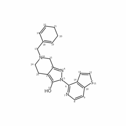 Oc1c2c(nn1-c1nccc3sccc13)CN(CC1=CCCC=C1)CC2